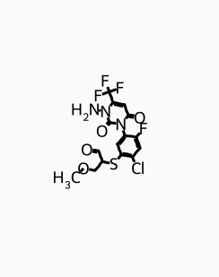 COCC(C=O)Sc1cc(-n2c(=O)cc(C(F)(F)F)n(N)c2=O)c(F)cc1Cl